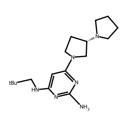 CC(C)(C)CNc1cc(N2CC[C@H](N3CCCC3)C2)nc(N)n1